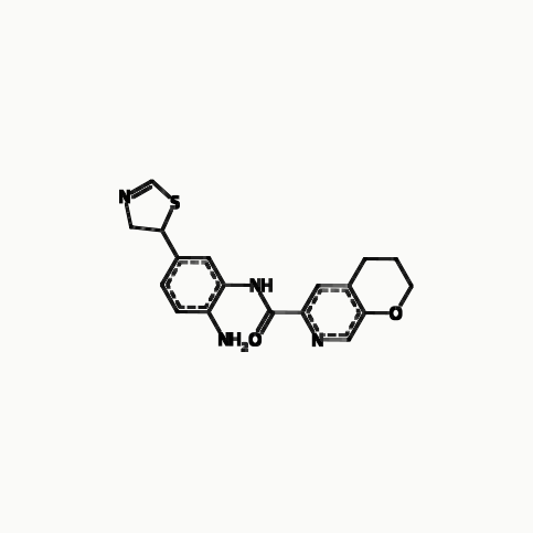 Nc1ccc(C2CN=CS2)cc1NC(=O)c1cc2c(cn1)OCCC2